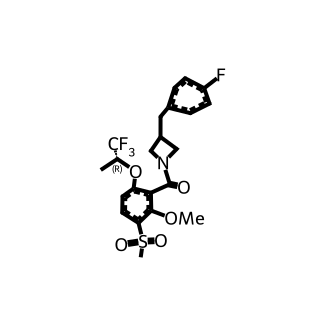 COc1c(S(C)(=O)=O)ccc(O[C@H](C)C(F)(F)F)c1C(=O)N1CC(Cc2ccc(F)cc2)C1